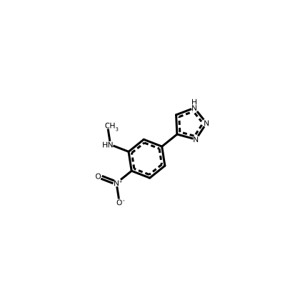 CNc1cc(-c2c[nH]nn2)ccc1[N+](=O)[O-]